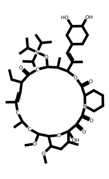 CCC1/C=C(\C)CC(C)CC(OC)C2OC(O)(C(=O)C(=O)N3CCCCC3C(=O)OC(C(C)=CC3CCC(O)C(O)C3)C(C)C(O[Si](C(C)C)(C(C)C)C(C)C)CC1=O)C(C)CC2OC